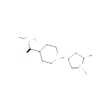 CNC(=O)C1CCN([C@H]2C[C@@H](I)N(C)C2)CC1